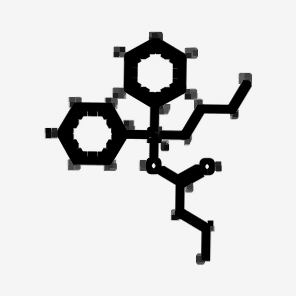 CC[CH]C(=O)O[Si](CCCC)(c1ccccc1)c1ccccc1